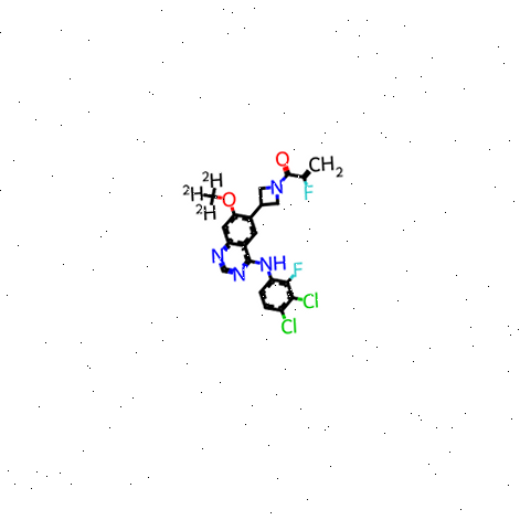 [2H]C([2H])([2H])Oc1cc2ncnc(Nc3ccc(Cl)c(Cl)c3F)c2cc1C1CN(C(=O)C(=C)F)C1